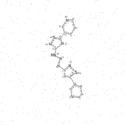 c1cncc(-c2nc(N=NNc3nsc(-c4cccnc4)n3)ns2)c1